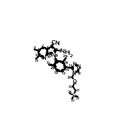 Cc1cc2c(C#N)c(N)n(-c3c(C)ccc(-c4nncn4COCC[Si](C)(C)C)c3C)c2nc1C